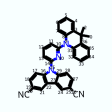 CC1(C)c2ccccc2N(c2cccc(-n3c4ccc(C#N)cc4c4cc(C#N)ccc43)n2)c2ccccc21